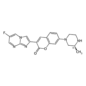 C[C@H]1CN(c2ccc3cc(-c4cn5cc(F)cnc5n4)c(=O)oc3c2)CCN1